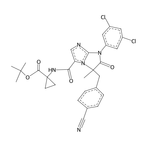 CC(C)(C)OC(=O)C1(NC(=O)c2cnc3n2C(C)(Cc2ccc(C#N)cc2)C(=O)N3c2cc(Cl)cc(Cl)c2)CC1